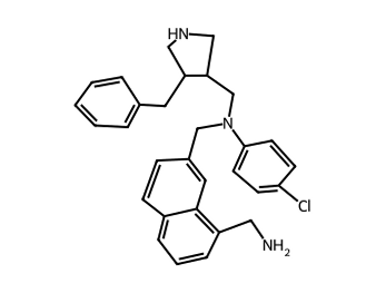 NCc1cccc2ccc(CN(CC3CNCC3Cc3ccccc3)c3ccc(Cl)cc3)cc12